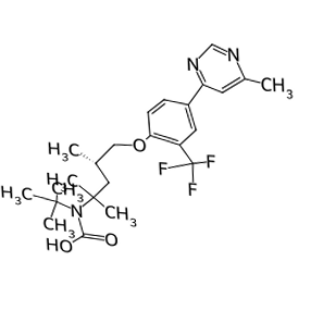 Cc1cc(-c2ccc(OC[C@@H](C)CC(C)(C)N(C(=O)O)C(C)(C)C)c(C(F)(F)F)c2)ncn1